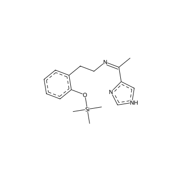 CC(=NCCc1ccccc1O[Si](C)(C)C)c1c[nH]cn1